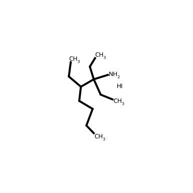 CCCCC(CC)C(N)(CC)CC.I